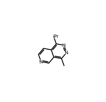 Cc1nnc(C(C)C)c2ccncc12